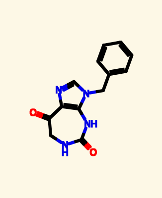 O=C1NCC(=O)c2ncn(Cc3ccccc3)c2N1